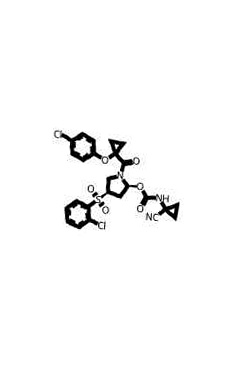 N#CC1(NC(=O)O[C@H]2C[C@@H](S(=O)(=O)c3ccccc3Cl)CN2C(=O)C2(Oc3ccc(Cl)cc3)CC2)CC1